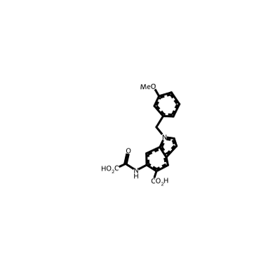 COc1cccc(Cn2ccc3cc(C(=O)O)c(NC(=O)C(=O)O)cc32)c1